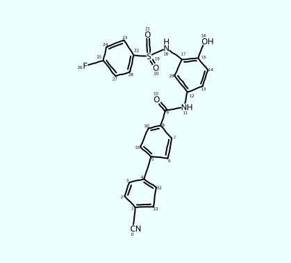 N#Cc1ccc(-c2ccc(C(=O)Nc3ccc(O)c(NS(=O)(=O)c4ccc(F)cc4)c3)cc2)cc1